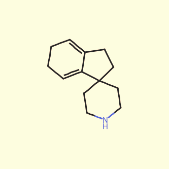 C1=C2CCC3(CCNCC3)C2=CCC1